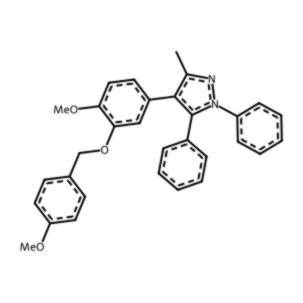 COc1ccc(COc2cc(-c3c(C)nn(-c4ccccc4)c3-c3ccccc3)ccc2OC)cc1